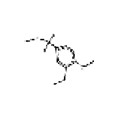 CCc1cc(C(C)(C)CC)ccc1OC